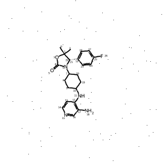 CC1(C)OC(=O)N(C2CCC(Nc3ccncc3N)CC2)[C@H]1c1ccc(F)cc1